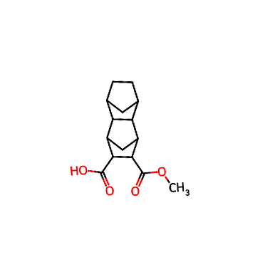 COC(=O)C1C2CC(C1C(=O)O)C1C3CCC(C3)C21